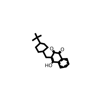 CC(C)(C)C1CCC(CC2=C(O)c3ccccc3C(=O)C2=O)CC1